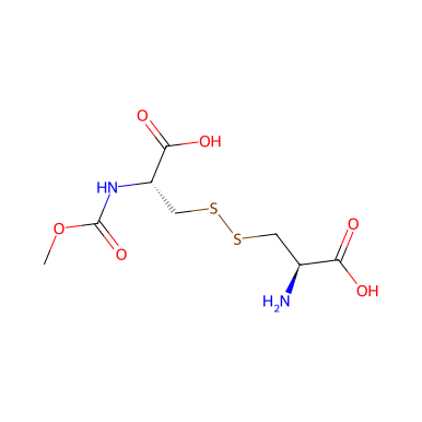 COC(=O)N[C@@H](CSSC[C@H](N)C(=O)O)C(=O)O